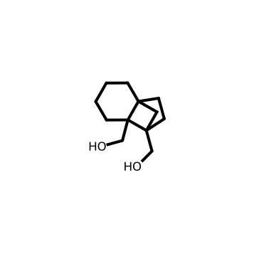 OCC12CCC3(CCCCC13CO)C2